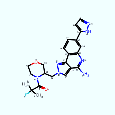 CC(C)(F)C(=O)N1CCOCC1Cn1cc2c(N)nc3cc(-c4ccn[nH]4)ccc3c2n1